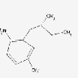 CC[C@@H](C)Cc1cc(O)ccc1N